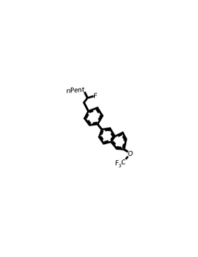 CCCCCC(F)Cc1ccc(-c2ccc3cc(OC(F)(F)F)ccc3c2)cc1